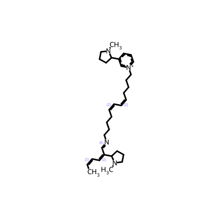 C\C=C/C=C(\C=N\CCCC/C=C\C=C/CCCC[n+]1cccc(C2CCCN2C)c1)C1CCCN1C